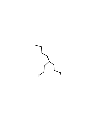 CCCC[C@@H](CCF)CCI